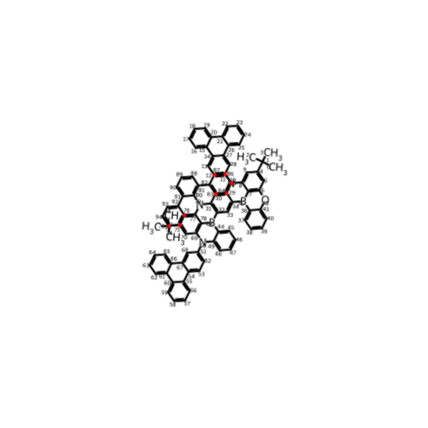 CC(C)(C)c1cc2c3c(c1)N(c1ccc4c5ccccc5c5ccccc5c4c1)c1cc4c(cc1B3c1ccccc1O2)B1c2ccccc2N(c2ccc3c5ccccc5c5ccccc5c3c2)c2cc(C(C)(C)C)cc(c21)N4c1c(-c2ccccc2)cccc1-c1ccccc1